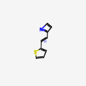 C1=CC(/C=C/c2cccs2)=N1